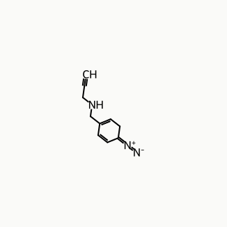 C#CCNCC1=CCC(=[N+]=[N-])C=C1